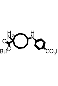 CC(C)(C)OC(=O)C1(N)CCCCC(Nc2ccc(C(=O)O)cc2)CCC1